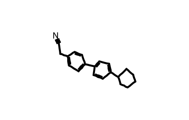 N#CCc1ccc(-c2ccc(C3CCCCC3)cc2)cc1